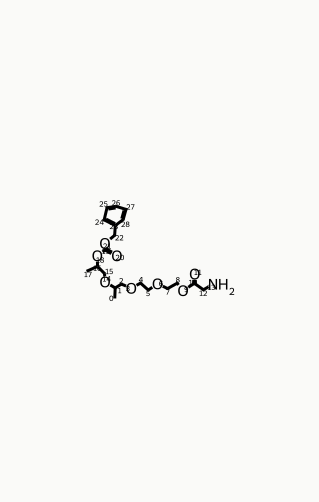 CC(COCCOCCOC(=O)CN)OCC(C)OC(=O)OCc1ccccc1